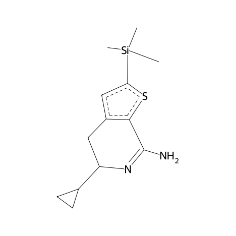 C[Si](C)(C)c1cc2c(s1)C(N)=NC(C1CC1)C2